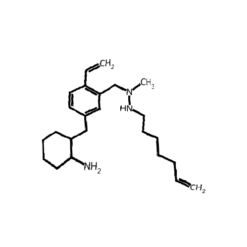 C=CCCCCCNN(C)Cc1cc(CC2CCCCC2N)ccc1C=C